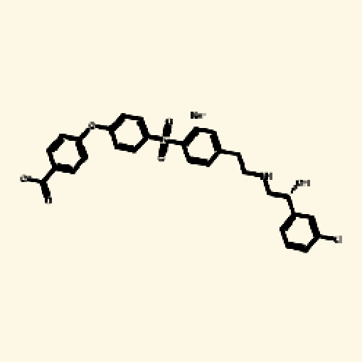 O=C([O-])c1ccc(Oc2ccc(S(=O)(=O)c3ccc(CCNC[C@H](O)c4cccc(Cl)c4)cc3)cc2)cc1.[Na+]